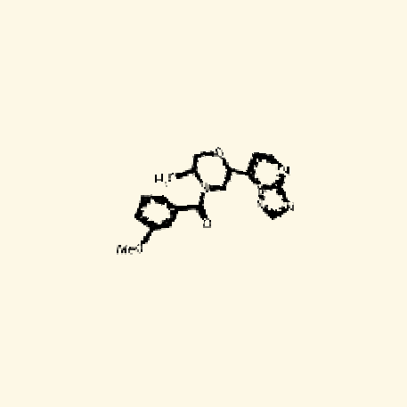 COc1cccc(C(=O)N2CC(c3ccnc4ncnn34)OCC2C)c1